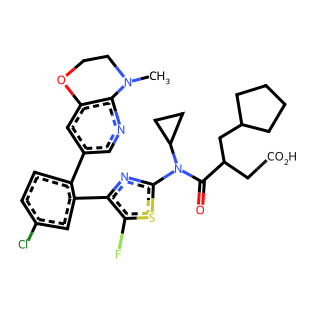 CN1CCOc2cc(-c3ccc(Cl)cc3-c3nc(N(C(=O)C(CC(=O)O)CC4CCCC4)C4CC4)sc3F)cnc21